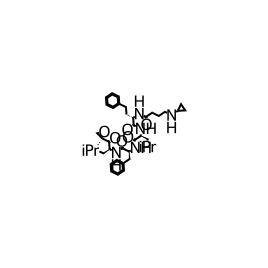 CC(C)C[C@H](NC(=O)[C@H](CCc1ccccc1)NC(=O)CCCNC1CC1)C(=O)N[C@@H](Cc1ccccc1)C(=O)N[C@@H](CC(C)C)C(=O)[C@@]1(C)CO1